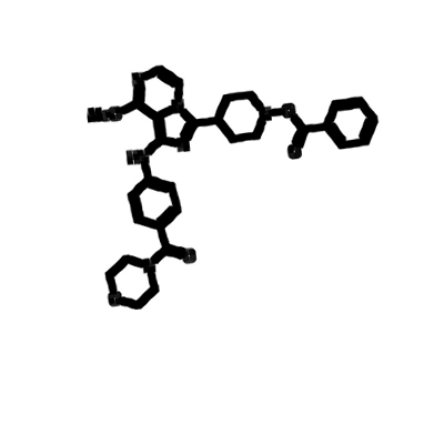 COc1nccn2c(C3CCN(OC(=O)c4ccccc4)CC3)nc(Nc3ccc(C(=O)N4CCOCC4)cc3)c12